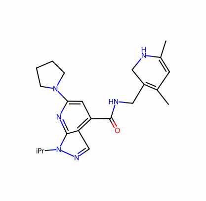 CC1=CC(C)=C(CNC(=O)c2cc(N3CCCC3)nc3c2cnn3C(C)C)CN1